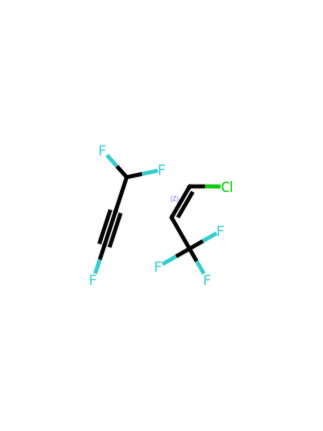 FC#CC(F)F.FC(F)(F)/C=C\Cl